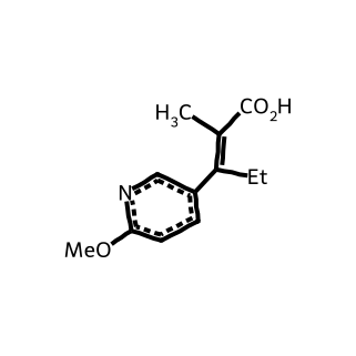 CCC(=C(C)C(=O)O)c1ccc(OC)nc1